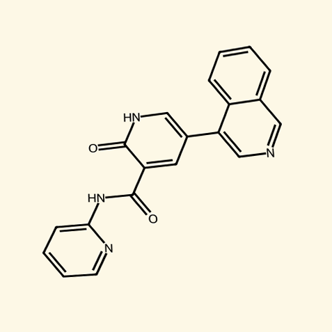 O=C(Nc1ccccn1)c1cc(-c2cncc3ccccc23)c[nH]c1=O